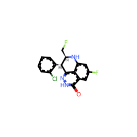 O=c1[nH]nc2c3c(cc(F)cc13)N[C@H](CF)[C@H]2c1ccccc1Cl